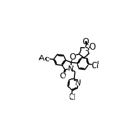 CC(=O)c1ccc2c(c1)C(=O)N(Cc1ccc(Cl)cn1)C2(OC1CCS(=O)(=O)C1)c1ccc(Cl)cc1